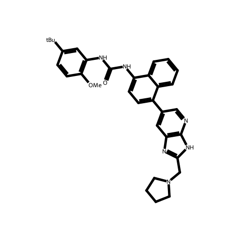 COc1ccc(C(C)(C)C)cc1NC(=O)Nc1ccc(-c2cnc3[nH]c(CN4CCCC4)nc3c2)c2ccccc12